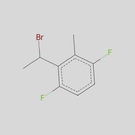 Cc1c(F)ccc(F)c1C(C)Br